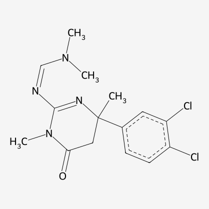 CN(C)/C=N\C1=NC(C)(c2ccc(Cl)c(Cl)c2)CC(=O)N1C